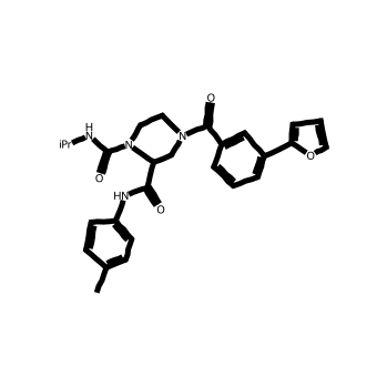 Cc1ccc(NC(=O)C2CN(C(=O)c3cccc(-c4ccco4)c3)CCN2C(=O)NC(C)C)cc1